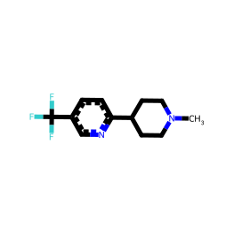 CN1CCC(c2ccc(C(F)(F)F)cn2)CC1